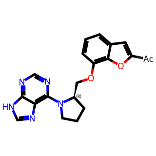 CC(=O)c1cc2cccc(OC[C@H]3CCCN3c3ncnc4[nH]cnc34)c2o1